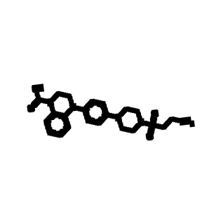 NCCS(=O)(=O)N1CCN(c2ccc(N3CCN(C(=O)O)c4ccccc43)cc2)CC1